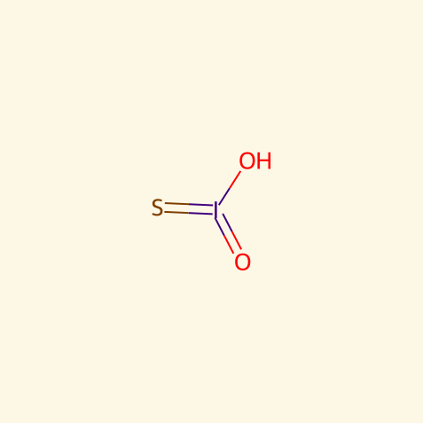 O=I(O)=S